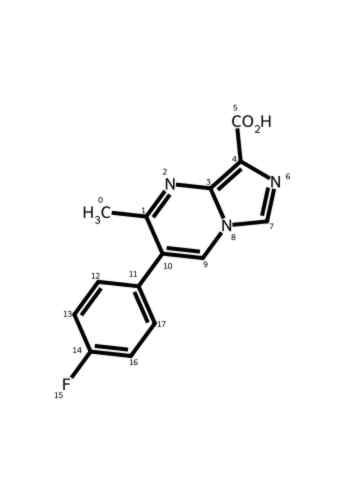 Cc1nc2c(C(=O)O)ncn2cc1-c1ccc(F)cc1